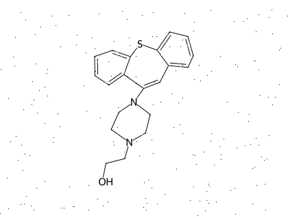 OCCN1CCN(C2=Cc3ccccc3Sc3ccccc32)CC1